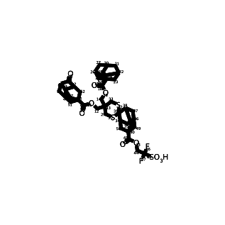 O=C1C2CC3CC1CC(C(=O)OCC1(COC(=O)C45CC6CC(C4)C(=O)C(C6)C5)CSC4(SC1)C1CC5CC4CC(C(=O)OCC(F)(F)S(=O)(=O)O)(C5)C1)(C3)C2